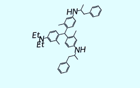 CCN(CC)c1ccc(C(c2ccc(NC(C)Cc3ccccc3)cc2C)c2ccc(NC(C)Cc3ccccc3)cc2C)c(C)c1